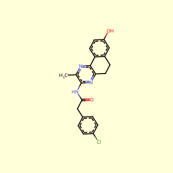 Cc1nc2c(nc1NC(=O)Cc1ccc(Cl)cc1)CCc1cc(O)ccc1-2